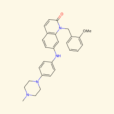 COc1ccccc1Cn1c(=O)ccc2ccc(Nc3ccc(N4CCN(C)CC4)cc3)cc21